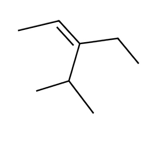 C/C=C(/CC)C(C)C